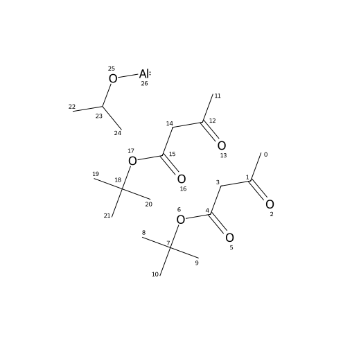 CC(=O)CC(=O)OC(C)(C)C.CC(=O)CC(=O)OC(C)(C)C.CC(C)[O][Al]